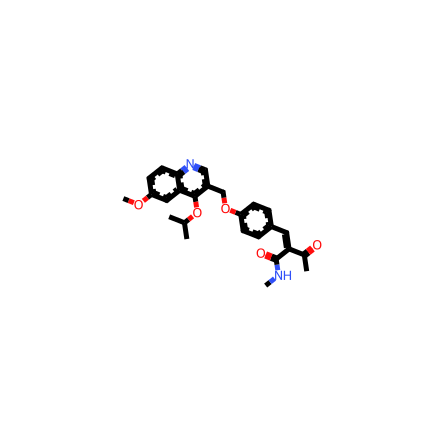 CNC(=O)C(=Cc1ccc(OCc2cnc3ccc(OC)cc3c2OC(C)C)cc1)C(C)=O